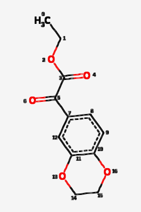 CCOC(=O)C(=O)c1ccc2c(c1)OCCO2